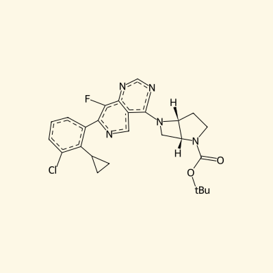 CC(C)(C)OC(=O)N1CC[C@@H]2[C@H]1CN2c1ncnc2c(F)c(-c3cccc(Cl)c3C3CC3)ncc12